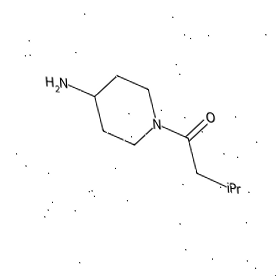 CC(C)CC(=O)N1CCC(N)CC1